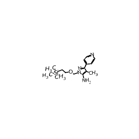 Cc1c(-c2ccncc2)nn(COCC[Si](C)(C)C)c1N